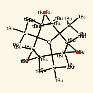 CC(C)(C)[Si](C(C)(C)C)(C(C)(C)C)[C]([Cr]([C]([Si](C(C)(C)C)(C(C)(C)C)C(C)(C)C)([Si](C(C)(C)C)(C(C)(C)C)C(C)(C)C)[Si](C(C)(C)C)(C(C)(C)C)C(C)(C)C)[C]([Si](C(C)(C)C)(C(C)(C)C)C(C)(C)C)([Si](C(C)(C)C)(C(C)(C)C)C(C)(C)C)[Si](C(C)(C)C)(C(C)(C)C)C(C)(C)C)([Si](C(C)(C)C)(C(C)(C)C)C(C)(C)C)[Si](C(C)(C)C)(C(C)(C)C)C(C)(C)C